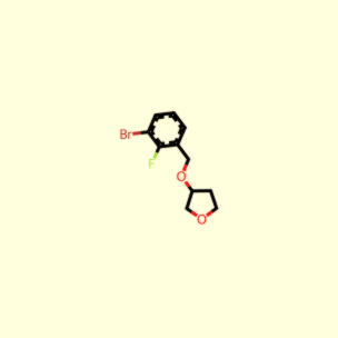 Fc1c(Br)cccc1COC1CCOC1